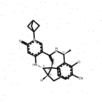 C[C@H](NC(=O)c1cn(C23CC(C2)C3)c(=O)cc1N[C@@H]1[C@@H]2CN(C)C[C@@H]21)c1cccc(C#N)c1Cl